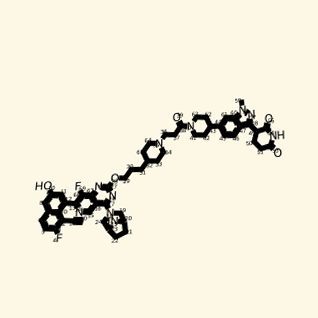 C#Cc1c(F)ccc2cc(O)cc(-c3ncc4c(N5CC6CCC(C5)N6)nc(OCCCC5CCN(CCC(=O)N6CCC(c7ccc8c(C9CCC(=O)NC9=O)nn(C)c8c7)CC6)CC5)nc4c3F)c12